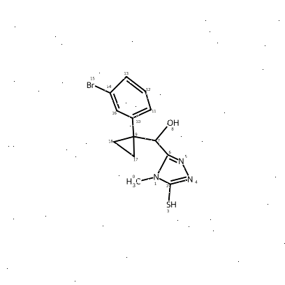 Cn1c(S)nnc1C(O)C1(c2cccc(Br)c2)CC1